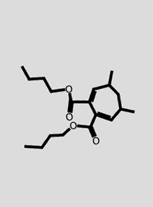 CCCCOC(=O)C1=CC(C)CC(C)C=C1C(=O)OCCCC